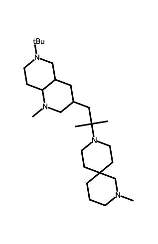 CN1CCCC2(CCN(C(C)(C)CC3CC4CN(C(C)(C)C)CCC4N(C)C3)CC2)C1